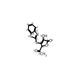 CC(=O)C1OC(=O)C(O)=C1Sc1nc2ccccc2s1